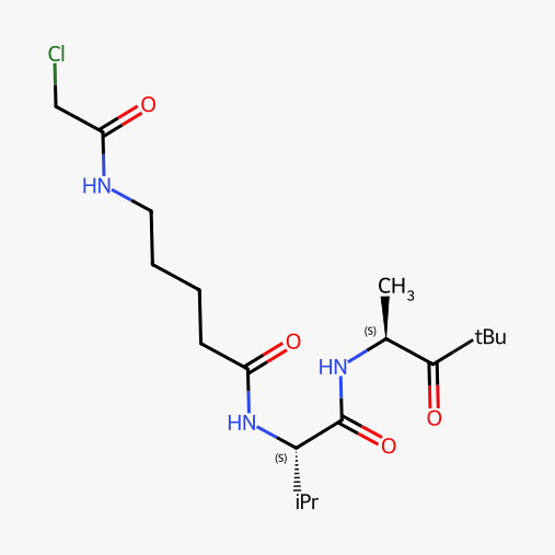 CC(C)[C@H](NC(=O)CCCCNC(=O)CCl)C(=O)N[C@@H](C)C(=O)C(C)(C)C